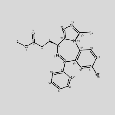 COC(=O)CC[C@@H]1N=C(c2ccccn2)c2cc(Br)ccc2-n2c(C)nnc21